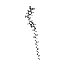 CCCCCCCCCCCCCCCCCCSc1cc2sc(C=NNc3ccc([N+](=O)[O-])cc3)cc2s1